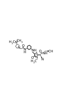 C#CCNC(=O)/C(C#N)=c1\sc(=CNc2cccc(NC(=O)CN3CCC(N(C)C)C3)c2)c(=O)n1CC